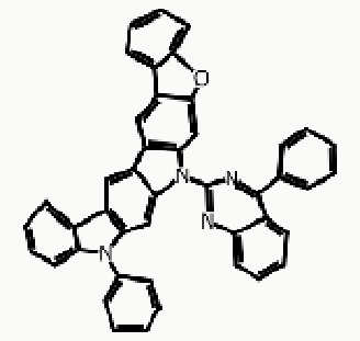 c1ccc(-c2nc(-n3c4cc5oc6ccccc6c5cc4c4cc5c6ccccc6n(-c6ccccc6)c5cc43)nc3ccccc23)cc1